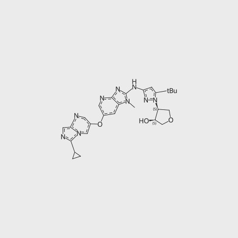 Cn1c(Nc2cc(C(C)(C)C)n([C@H]3COC[C@H]3O)n2)nc2ncc(Oc3cnc4cnc(C5CC5)n4c3)cc21